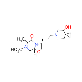 C[C@H]1C(=O)N2[C@@H](CCCN3CCC4(CC4)C(O)C3)CO[C@@H]2CN1C(=O)O